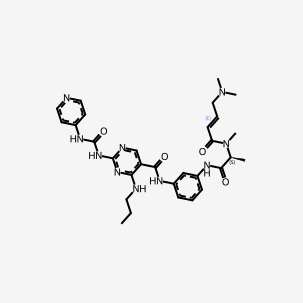 CCCNc1nc(NC(=O)Nc2ccncc2)ncc1C(=O)Nc1cccc(NC(=O)[C@H](C)N(C)C(=O)/C=C/CN(C)C)c1